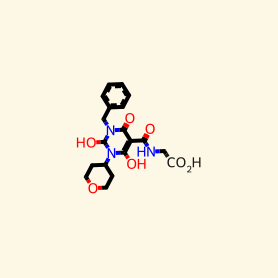 O=C(O)CNC(=O)C1=C(O)N(C2CCOCC2)C(O)N(Cc2ccccc2)C1=O